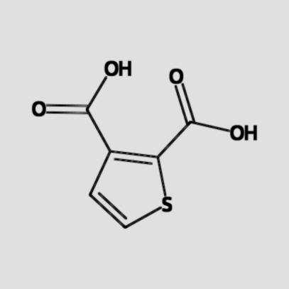 O=C(O)c1ccsc1C(=O)O